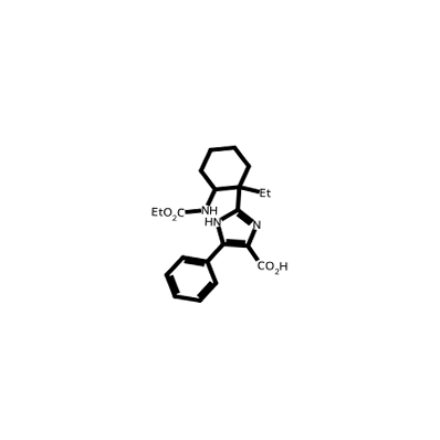 CCOC(=O)NC1CCCCC1(CC)c1nc(C(=O)O)c(-c2ccccc2)[nH]1